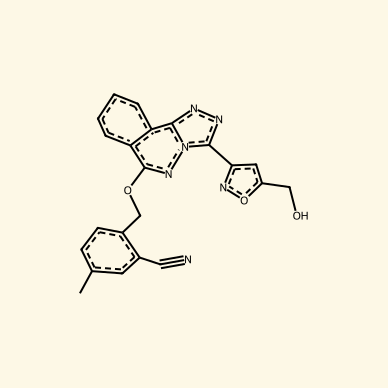 Cc1ccc(COc2nn3c(-c4cc(CO)on4)nnc3c3ccccc23)c(C#N)c1